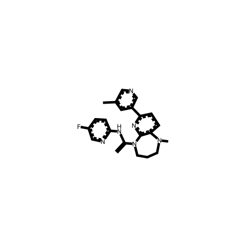 C=C(Nc1ccc(F)cn1)N1CCCN(C)c2ccc(-c3cncc(C)c3)nc21